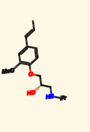 C/C=C/c1ccc(OC[C@@H](O)CNC(C)C)c(OC)c1